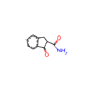 NC(=O)C1Cc2c[c]ccc2C1=O